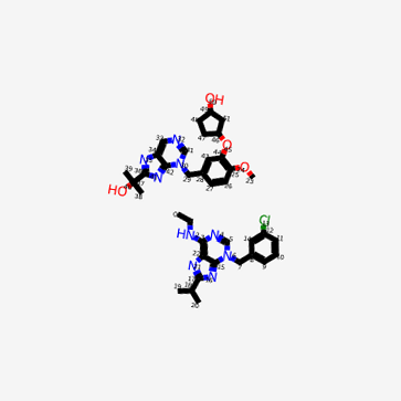 CCNc1ncn(Cc2cccc(Cl)c2)c2nc(C(C)C)nc1-2.COc1ccc(Cn2cncc3nc(C(C)(C)O)nc2-3)cc1OC1CCC(O)C1